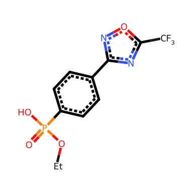 CCOP(=O)(O)c1ccc(-c2noc(C(F)(F)F)n2)cc1